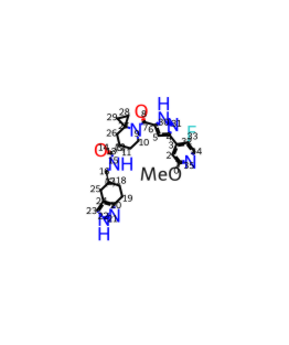 COc1cc(-c2cc(C(=O)N3CC[C@H](C(=O)NC[C@H]4CCc5n[nH]cc5C4)CC34CC4)[nH]n2)c(F)cn1